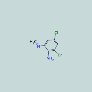 C=Nc1cc(Cl)cc(Br)c1N